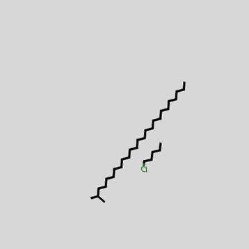 CCCCCCCCCCCCCCCCCCCCCCCC(C)C.CCCCCCl